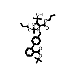 CCCOC(=O)C1=C(C(C)(C)O)NC(C)(OCCC)N1Cc1ccc(-c2ccccc2C(=O)OC(C)(C)C)cc1